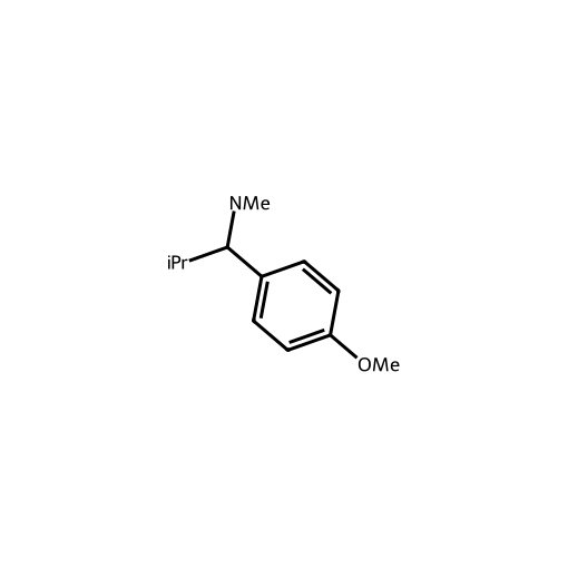 CNC(c1ccc(OC)cc1)C(C)C